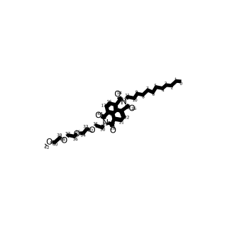 CCCCCCCCCCCCN1C(=O)c2ccc3c4c(ccc(c24)C1=O)C(=O)N(CCOCCOCCOCCOC)C3=O